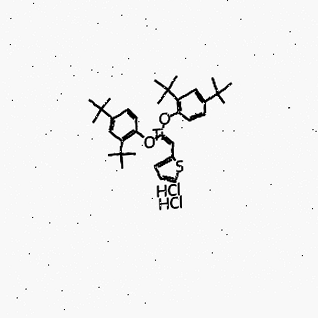 CC(C)(C)c1ccc([O][Ti](=[CH]c2cccs2)[O]c2ccc(C(C)(C)C)cc2C(C)(C)C)c(C(C)(C)C)c1.Cl.Cl